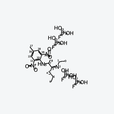 CC/N=C(/SCC)C(C)Nc1c([N+](=O)[O-])cc(C)cc1[N+](=O)[O-].OB(O)F.OB(O)F.OB(O)F.OB(O)F